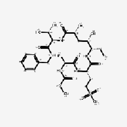 CC(C)C[C@H](NC(=O)[C@H](CCS(C)(=O)=O)NC(=O)[C@@H](NC(=O)OC(C)(C)C)C(C)C)[C@@H](O)C[C@@H](C)C(=O)N[C@@H](C(=O)NCc1ccccc1)[C@@H](C)O